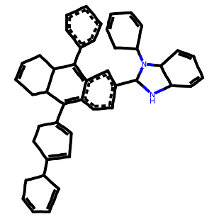 C1=CCC(C2=CC=C(C3=c4ccc(C5NC6C=CC=CC6N5C5C=CC=CC5)cc4=C(c4ccccc4)C4CC=CCC34)CC2)C=C1